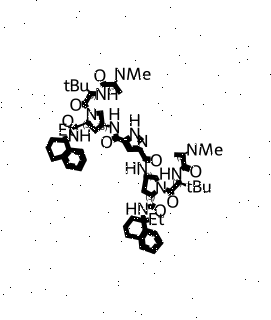 CCC1(NC(=O)[C@@H]2C[C@H](NC(=O)c3cc(C(=O)N[C@H]4C[C@@H](C(=O)NC5(CC)CCCc6ccccc65)N(C(=O)[C@@H](NC(=O)[C@H](C)NC)C(C)(C)C)C4)[nH]n3)CN2C(=O)[C@@H](NC(=O)[C@H](C)NC)C(C)(C)C)CCCc2ccccc21